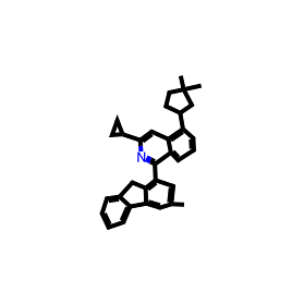 Cc1cc2c(c(-c3nc(C4CC4)cc4c(C5CCC(C)(C)C5)cccc34)c1)Cc1ccccc1-2